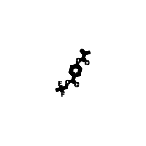 C=C(C)C(=O)Oc1ccc(C(=O)OCC(C)(F)F)cc1